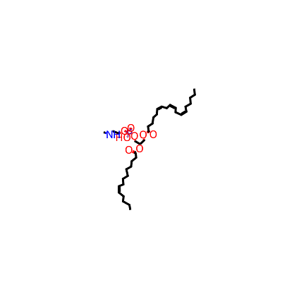 CCCC/C=C\CCCCCCCC(=O)OC(COC(=O)CCCC/C=C\C/C=C\C/C=C\CCCCC)COP(=O)(O)OCCNC